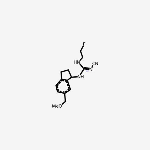 COCc1ccc2c(c1)C(N/C(=N/C#N)NCCF)CC2